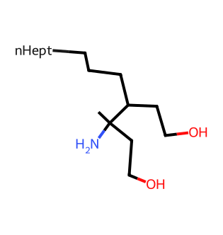 CCCCCCCCCCC(CCO)C(C)(N)CCO